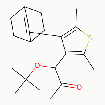 CC(=O)C(OC(C)(C)C)c1c(C)sc(C)c1C1=CC2CCC1CC2